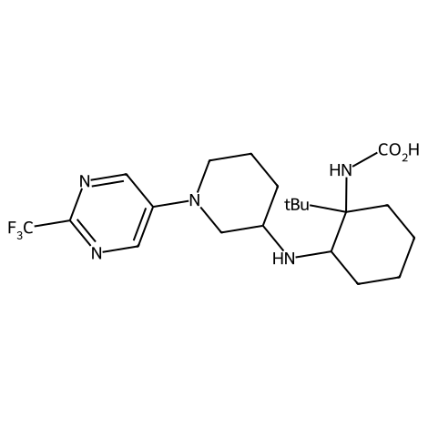 CC(C)(C)C1(NC(=O)O)CCCCC1NC1CCCN(c2cnc(C(F)(F)F)nc2)C1